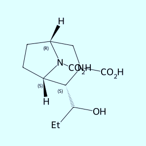 CCC(O)[C@@H]1[C@@H]2CC[C@H](CN1C(=O)O)N2C(=O)O